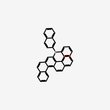 c1ccc(N(c2ccc3ccccc3c2)c2cc3ccc4ccccc4c3c3ccc4ccccc4c23)cc1